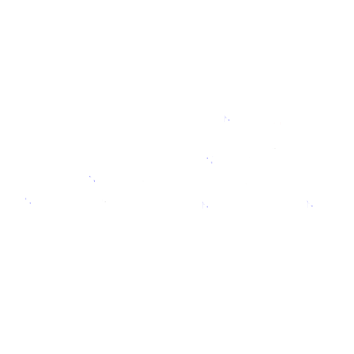 Cc1ccncc1C(=O)c1sc(Nc2ccc(C(=O)NC(C)[C@@H]3CCCN3)cc2)nc1N